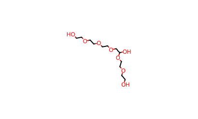 OCCOCCOCCOCC(O)OCCOCCO